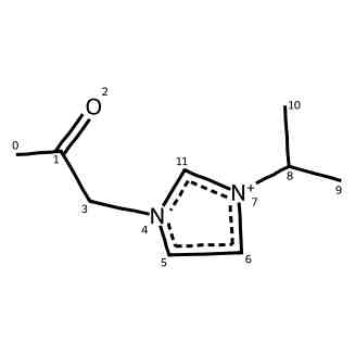 CC(=O)Cn1cc[n+](C(C)C)c1